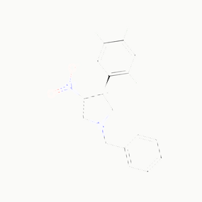 O=[N+]([O-])C1CN(Cc2ccccc2)C[C@@H]1c1cc(F)c(F)cc1F